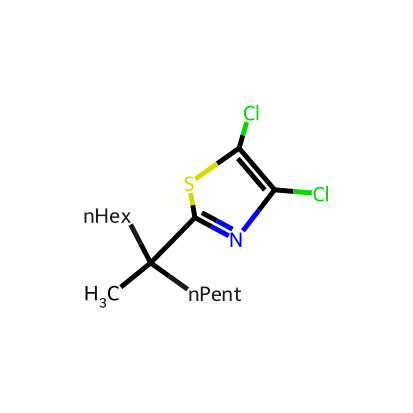 CCCCCCC(C)(CCCCC)c1nc(Cl)c(Cl)s1